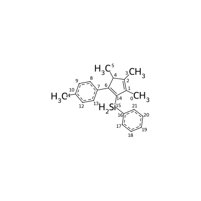 CC1=C(C)C(C)C(c2ccc(C)cc2)=C1[SiH2]c1ccccc1